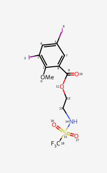 COc1c(I)cc(I)cc1C(=O)OCCNS(=O)(=O)C(F)(F)F